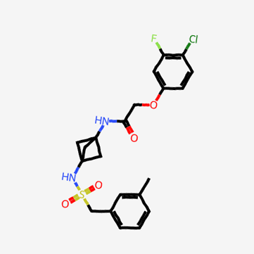 Cc1cccc(CS(=O)(=O)NC23CC(NC(=O)COc4ccc(Cl)c(F)c4)(C2)C3)c1